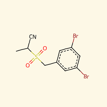 CC(C#N)S(=O)(=O)Cc1cc(Br)cc(Br)c1